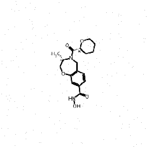 C[C@H]1COc2cc(C(=O)NO)ccc2CN1C(=O)[C@H]1CCCCO1